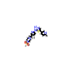 CCC(C)(c1ccc(Nc2ncc(-c3ccc(C)nc3)s2)nc1)N1CCN(S(C)(=O)=O)CC1